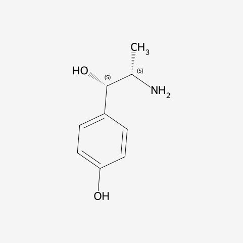 C[C@H](N)[C@@H](O)c1ccc(O)cc1